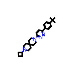 CC(C)(C)c1ccc(-c2ccc(N3CCC4(CC3)CCN(C3CCC3)CC4)nn2)cc1